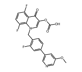 COc1cncc(-c2ccc(Cn3cc(OC(=O)O)c(=O)c4c(F)ccc(F)c43)c(F)c2)c1